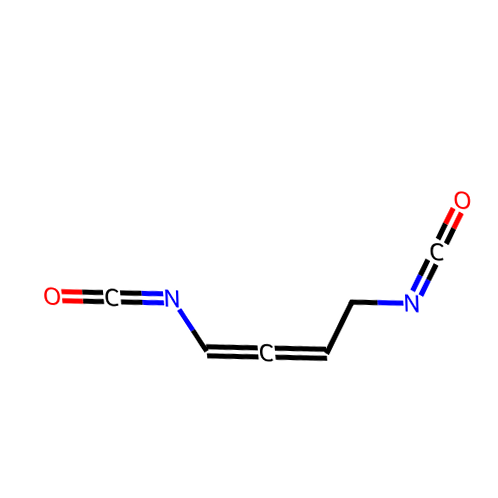 O=C=NC=C=CCN=C=O